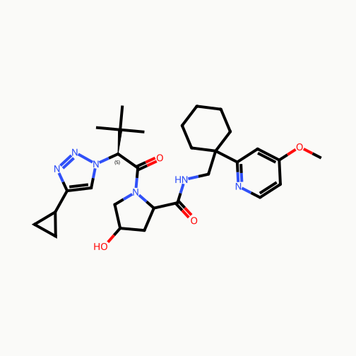 COc1ccnc(C2(CNC(=O)C3CC(O)CN3C(=O)[C@@H](n3cc(C4CC4)nn3)C(C)(C)C)CCCCC2)c1